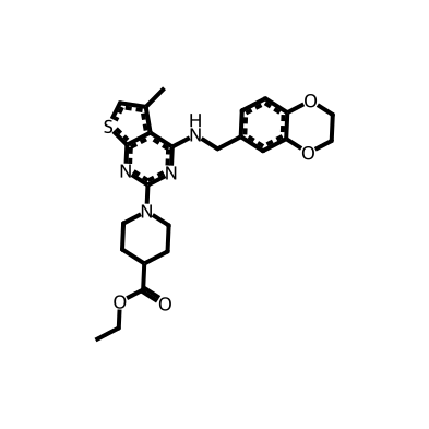 CCOC(=O)C1CCN(c2nc(NCc3ccc4c(c3)OCCO4)c3c(C)csc3n2)CC1